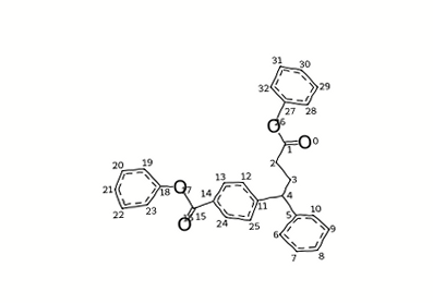 O=C(CCC(c1ccccc1)c1ccc(C(=O)Oc2ccccc2)cc1)Oc1ccccc1